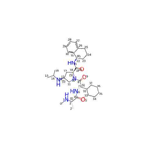 CN[C@@H](C)C(=O)N[C@H](C(=O)N1C[C@@H](NC(C)C)C[C@H]1C(=O)N[C@@H]1CCCc2ccccc21)C1CCCCC1